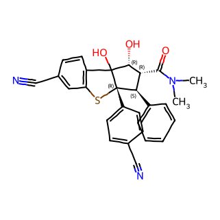 CN(C)C(=O)[C@H]1[C@@H](O)C2(O)c3ccc(C#N)cc3S[C@@]2(c2ccc(C#N)cc2)[C@@H]1c1ccccc1